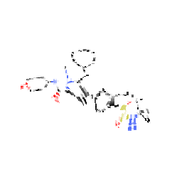 Cn1c(C(=O)NC2CCOCC2)cc(-c2ccc(S(=O)(=O)NC3(C#N)CC3)c(C(F)(F)F)c2)c1CC1CCCCC1